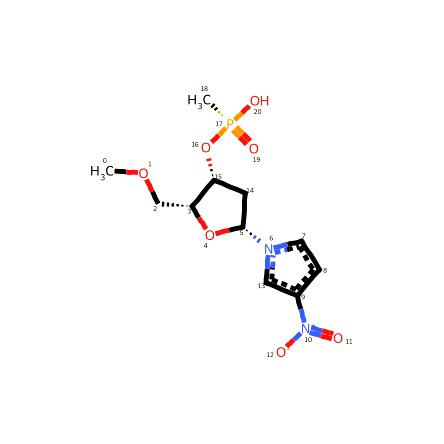 COC[C@H]1O[C@@H](n2ccc([N+](=O)[O-])c2)C[C@H]1O[P@](C)(=O)O